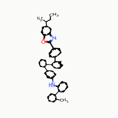 CCC(C)c1ccc2oc(-c3ccc(-c4ccccc4-c4ccccc4-c4ccc(Nc5ccccc5-c5ccccc5C)cc4)cc3)nc2c1